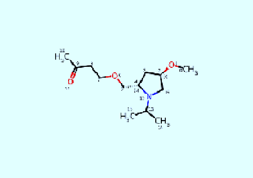 CO[C@@H]1C[C@@H](COCCC(C)=O)N(C(C)C)C1